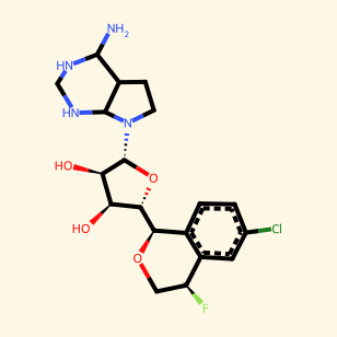 NC1NCNC2C1CCN2[C@@H]1O[C@H]([C@@H]2OC[C@H](F)c3cc(Cl)ccc32)[C@@H](O)[C@H]1O